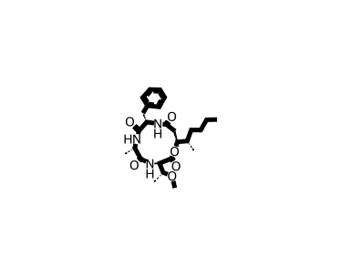 CCCC[C@H](C)[C@@H]1CC(=O)N[C@@H](Cc2ccccc2)C(=O)N[C@@H](C)C(=O)N[C@@H]([C@@H](C)OC)C(=O)O1